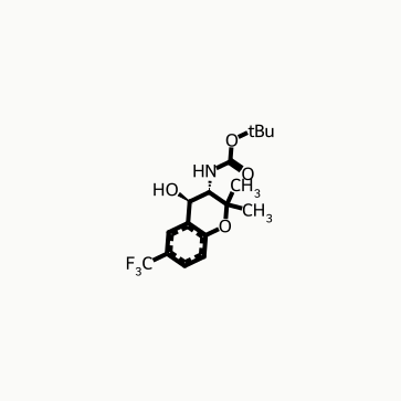 CC(C)(C)OC(=O)N[C@H]1[C@H](O)c2cc(C(F)(F)F)ccc2OC1(C)C